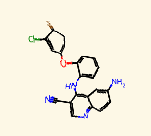 N#Cc1cnc2ccc(N)cc2c1Nc1ccccc1OC1=CCC(=S)C(Cl)=C1